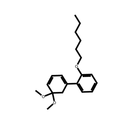 CCCCCCOc1ccccc1C1=CC=CC(OC)(OC)C1